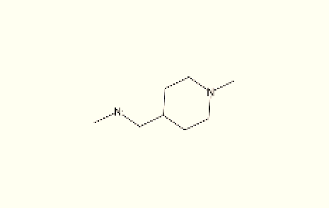 C[N]CC1CCN(C)CC1